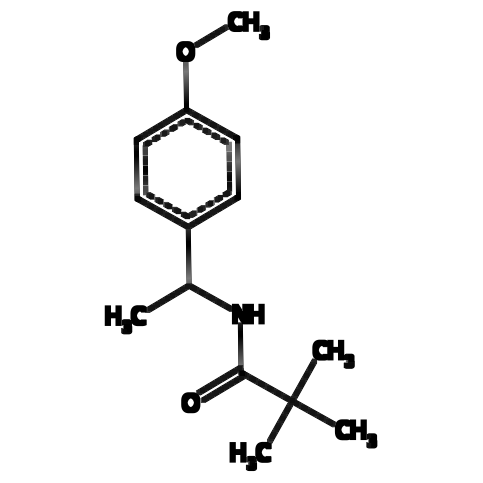 COc1ccc(C(C)NC(=O)C(C)(C)C)cc1